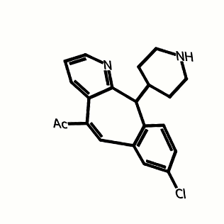 CC(=O)C1=Cc2cc(Cl)ccc2C(C2CCNCC2)c2ncccc21